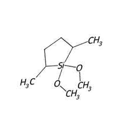 CO[Si]1(OC)C(C)CCC1C